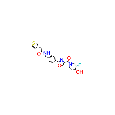 O=C(Cc1ccsc1)NCc1ccc(-c2nc(C(=O)N3CCC(O)C(F)C3)co2)cc1